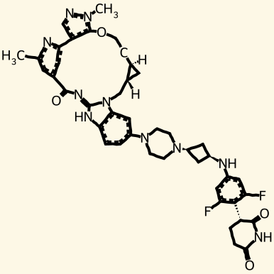 Cc1cc2cc(n1)-c1cnn(C)c1OCC[C@H]1C[C@@H]1CN1/C(=N/C2=O)Nc2ccc(N3CCN([C@H]4C[C@H](Nc5cc(F)c([C@H]6CCC(=O)NC6=O)c(F)c5)C4)CC3)cc21